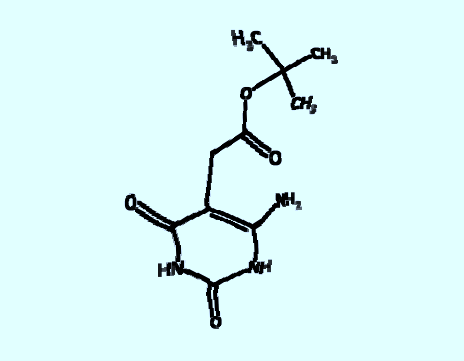 CC(C)(C)OC(=O)Cc1c(N)[nH]c(=O)[nH]c1=O